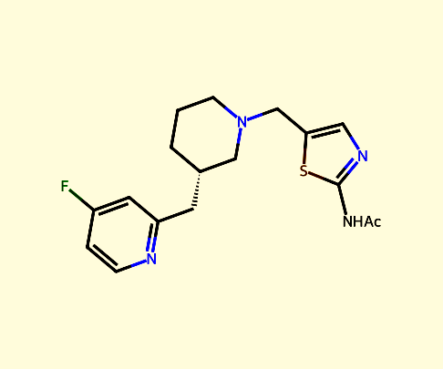 CC(=O)Nc1ncc(CN2CCC[C@@H](Cc3cc(F)ccn3)C2)s1